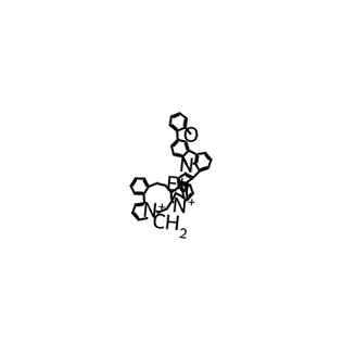 C=C1CC23Cc4cccc([n+]42)-c2cc4c5cccc6c7c8oc9ccccc9c8ccc7n(c4cc2C3(CC)CCc2ccccc2-c2cccc[n+]21)c56